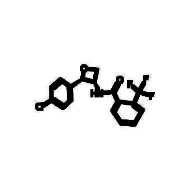 O=C(N[C@@H]1CO[C@@H]1c1ccc(Cl)cc1)c1ccccc1C(F)(F)F